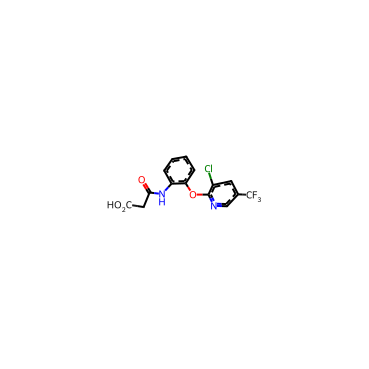 O=C(O)CC(=O)Nc1ccccc1Oc1ncc(C(F)(F)F)cc1Cl